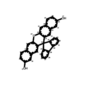 Oc1ccc2cc3c(cc2c1)C1(c2cc4cc(O)ccc4cc2O3)c2ccccc2-c2ccccc21